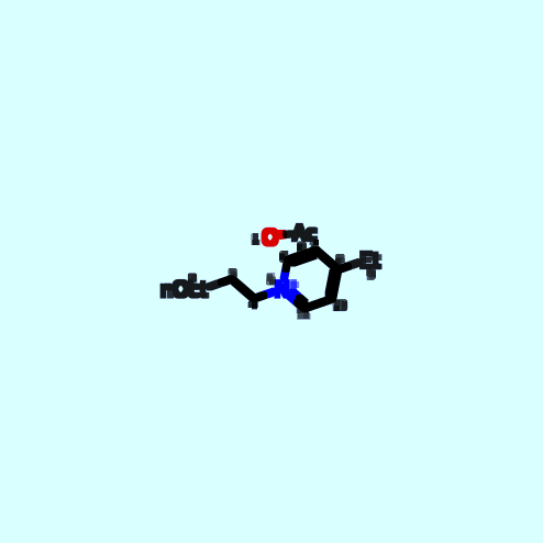 CC(=O)[O-].CCCCCCCCCC[n+]1ccc(CC)cc1